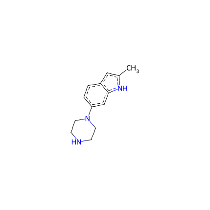 Cc1cc2ccc(N3CCNCC3)cc2[nH]1